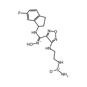 N[S+]([O-])NCCNc1nonc1/C(=N/O)NC1CCc2ccc(F)cc21